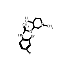 C=C(Nc1ccc(F)cc1Br)OC1CN(C)CCC1C